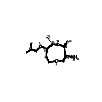 CC(C)CO[C@@H]1CCCC[C@H](N)C(=O)O[C@H]1C